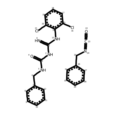 N=C(NC(=O)NCc1ccccc1)Nc1c(Cl)cccc1Cl.O=C=NCc1ccccc1